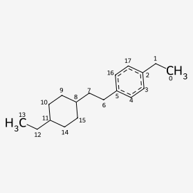 CCc1ccc(CCC2CCC(CC)CC2)cc1